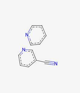 N#Cc1cccnc1.c1ccncc1